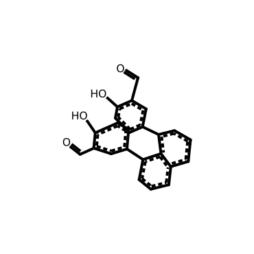 O=Cc1cc(-c2cccc3cccc(-c4ccc(O)c(C=O)c4)c23)ccc1O